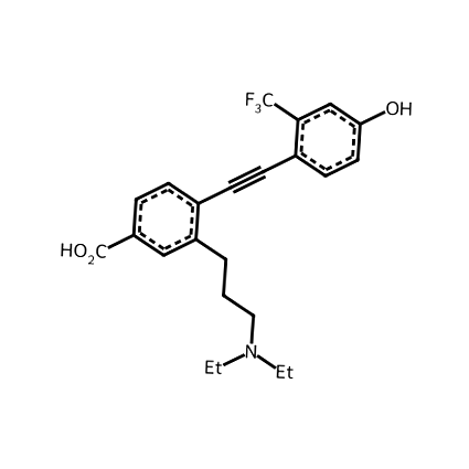 CCN(CC)CCCc1cc(C(=O)O)ccc1C#Cc1ccc(O)cc1C(F)(F)F